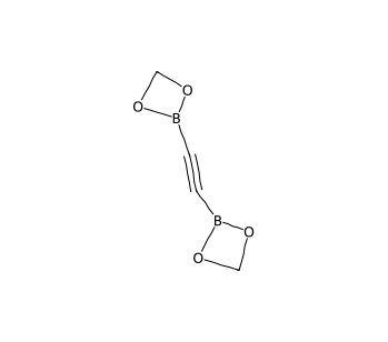 C(#CB1OCO1)B1OCO1